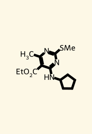 CCOC(=O)c1c(C)nc(SC)nc1NC1CCCC1